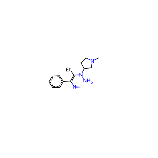 C=N/C(=C(/CC)N(N)C1CCN(C)C1)c1ccccc1